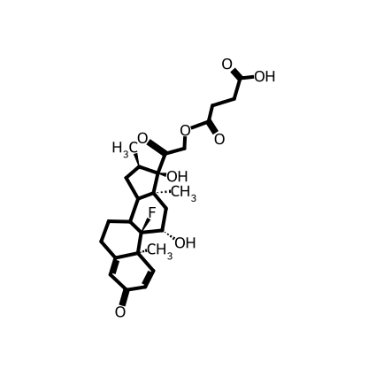 C[C@@H]1CC2C3CCC4=CC(=O)C=C[C@]4(C)[C@@]3(F)[C@@H](O)C[C@]2(C)[C@@]1(O)C(=O)COC(=O)CCC(=O)O